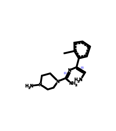 Cc1ccccc1C(=C/N)/N=C(\N)N1CCN(N)CC1